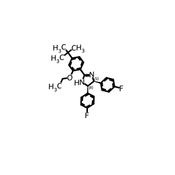 CCOc1cc(C(C)(C)C)ccc1C1=N[C@@H](c2ccc(F)cc2)[C@@H](c2ccc(F)cc2)N1